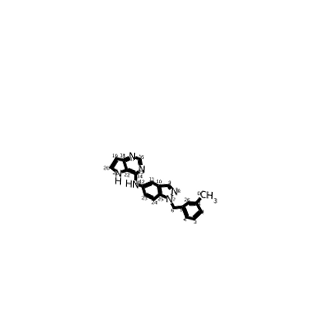 Cc1cccc(Cn2ncc3cc(Nc4ncnc5cc[nH]c45)ccc32)c1